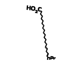 CCCC=CCC=CCCCCCCCCCCCCCCCC(=O)O